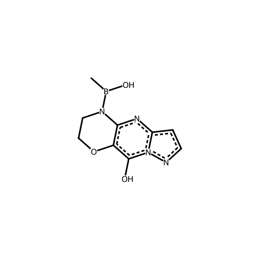 CB(O)N1CCOc2c1nc1ccnn1c2O